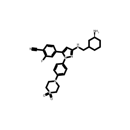 N#Cc1ccc(-c2cc(NCC3CCC[C@H](N)C3)nn2-c2ccc(N3CCS(=O)(=O)CC3)cc2)cc1F